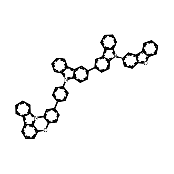 c1ccc2c(c1)oc1ccc(-n3c4ccccc4c4cc(-c5ccc6c(c5)c5ccccc5n6-c5ccc(-c6ccc7c(c6)-n6c8ccccc8c8cccc(c86)O7)cc5)ccc43)cc12